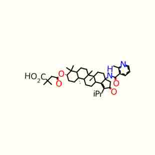 Cc1ncccc1C(=O)NC12CC[C@]3(C)C(CCC4C3(C)CCC3C(C)(C)[C@@H](OC(=O)CC(C)(C)C(=O)O)CC[C@@]34C)C1=C(C(C)C)C(=O)C2